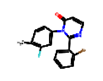 Cc1ccc(-n2c(-c3ccccc3Br)nccc2=O)cc1F